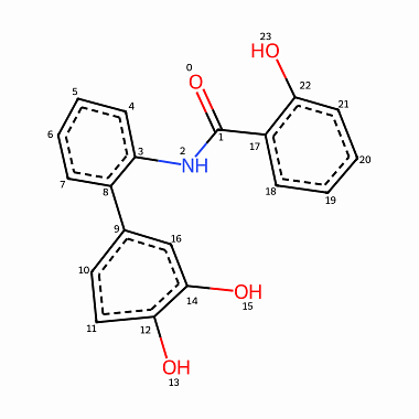 O=C(Nc1ccccc1-c1ccc(O)c(O)c1)c1ccccc1O